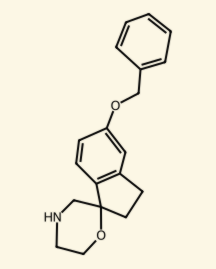 c1ccc(COc2ccc3c(c2)CCC32CNCCO2)cc1